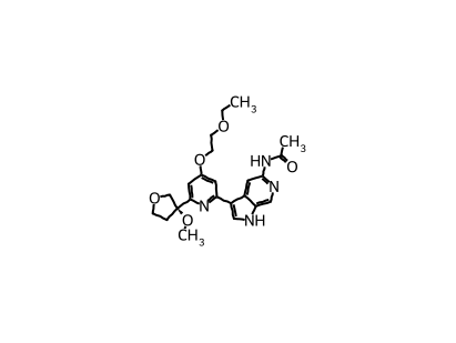 CCOCCOc1cc(-c2c[nH]c3cnc(NC(C)=O)cc23)nc([C@]2(OC)CCOC2)c1